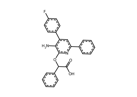 Nc1c(-c2ccc(F)cc2)cc(-c2ccccc2)nc1OC(C(=O)O)c1ccccc1